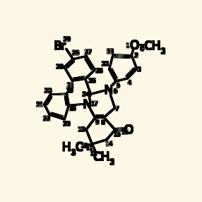 COc1ccc(N2CC3=C(CC(C)(C)CC3=O)N(c3ccccc3)C2c2ccc(Br)cc2)cc1